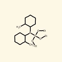 CCO[Si](OCC)(OCC)N(C1CCCCC1C)C1CCCCC1C